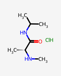 CN[C@H](C)C(=O)NC(C)C.Cl